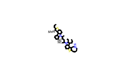 C=Cc1c(/C=C\C)c2c3c4c(sc3ccc2n1/C(=C/C(C#N)=C(\C)n1c2ccccc2c2c3c(NC)c(/C=C\C)sc3ccc21)CC#N)/C=C\CCNC4